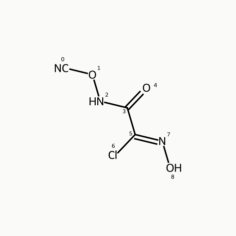 N#CONC(=O)C(Cl)=NO